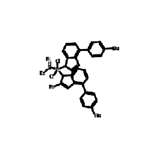 CCC1=Cc2c(-c3ccc(C(C)CC)cc3)cccc2[CH]1[Zr]([Cl])([Cl])([CH]1C(C)=Cc2c(-c3ccc(C(C)CC)cc3)cccc21)[SiH](CC)CC